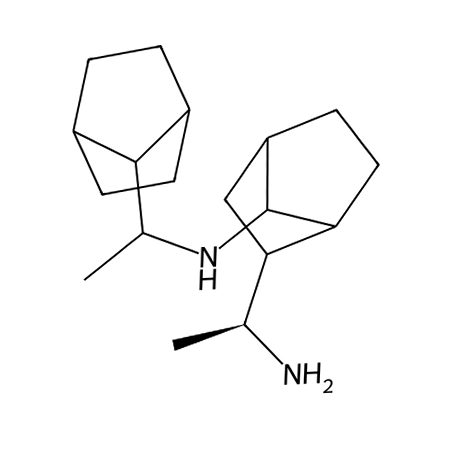 CC(NC1C2CCC1C([C@H](C)N)C2)C1C2CCC1CC2